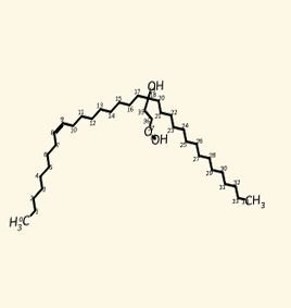 CCCCCCCC/C=C\CCCCCCCCC(O)(CCCCCCCCCCCCCCC)CCOO